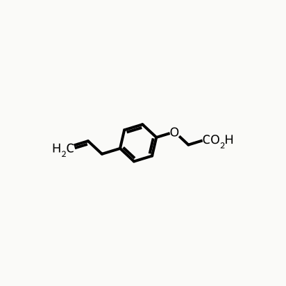 C=CCc1ccc(OCC(=O)O)cc1